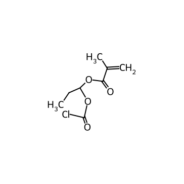 C=C(C)C(=O)OC(CC)OC(=O)Cl